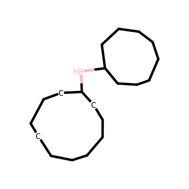 B(C1CCCCCCCCCC1)C1CCCCCCCC1